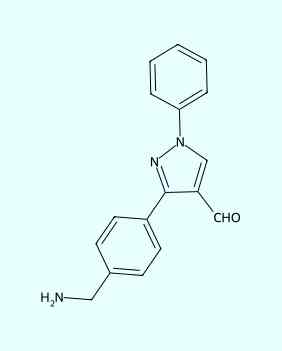 NCc1ccc(-c2nn(-c3ccccc3)cc2C=O)cc1